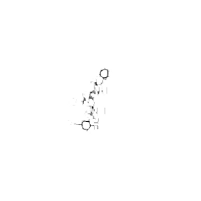 CC(C)(C)[N+]1(C(=O)[O-])C[C@H](NS(=O)(=O)c2cc(Br)ccc2Br)C[C@@H]1CNC(=O)Cc1ccccc1